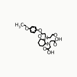 CCOc1ccc(OC(=O)CN(CC=O)[C@@H]2CCCC[C@H]2N(CC(=O)O)CC(=O)O)cc1